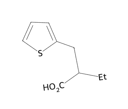 CCC(Cc1cccs1)C(=O)O